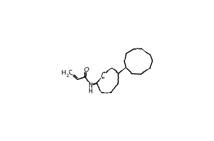 C=CC(=O)NC1CCCC(C2CCCCCCCCC2)CC1